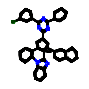 CCc1nc2ccccc2n1-c1ccccc1-c1cc(-c2ccc3ccccc3c2)cc(-c2nc(-c3ccccc3)nc(-c3cccc(Cl)c3)n2)c1